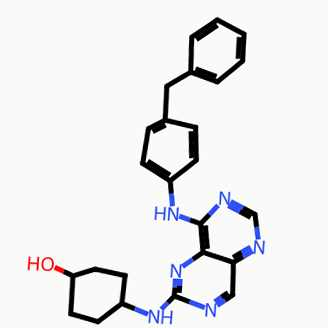 OC1CCC(Nc2ncc3ncnc(Nc4ccc(Cc5ccccc5)cc4)c3n2)CC1